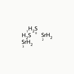 S.S.[SrH2].[SrH2]